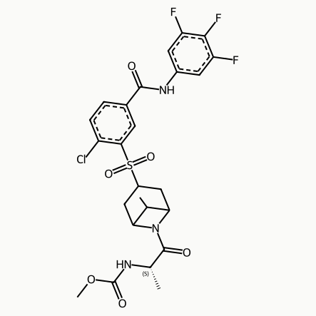 COC(=O)N[C@@H](C)C(=O)N1C2CC(S(=O)(=O)c3cc(C(=O)Nc4cc(F)c(F)c(F)c4)ccc3Cl)CC1C2C